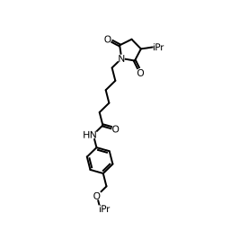 CC(C)OCc1ccc(NC(=O)CCCCCN2C(=O)CC(C(C)C)C2=O)cc1